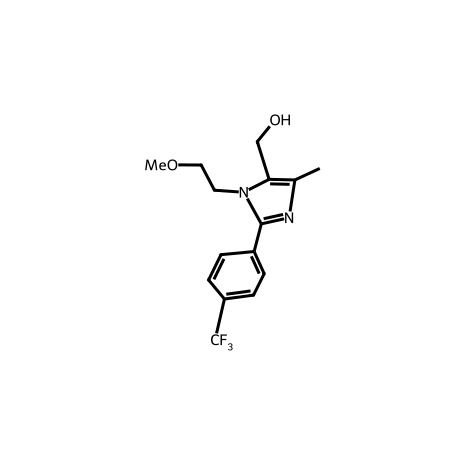 COCCn1c(-c2ccc(C(F)(F)F)cc2)nc(C)c1CO